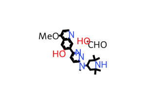 COc1ccnc2cc(-c3ccc(N(C)C4CC(C)(C)NC(C)(C)C4)nn3)c(O)cc12.O=CO